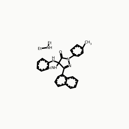 CC(=O)NC1(Nc2ccccc2)C(=O)N(c2ccc(C)cc2)N=C1c1cccc2ccccc12.CCNCC